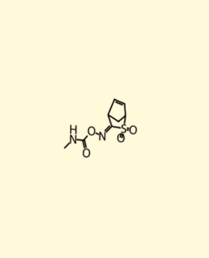 CNC(=O)O/N=C1\C2C=CC(C2)S1(=O)=O